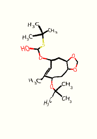 C/C1=C\C(OC(O)SC(C)(C)C)CC2OCOC2CC1OC(C)(C)C